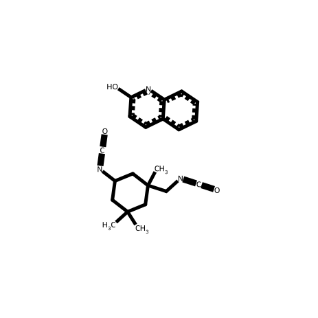 CC1(C)CC(N=C=O)CC(C)(CN=C=O)C1.Oc1ccc2ccccc2n1